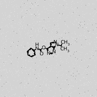 CC(C)n1ncc2c(OC(=O)Nc3ccccc3)ncnc21